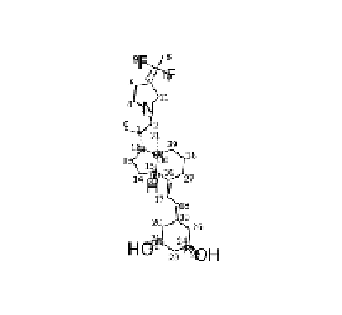 CC(CN1CCC(C(C)(F)F)C1)[C@H]1CC[C@H]2C(=CC=C3C[C@@H](O)C[C@H](O)C3)CCC[C@]12C